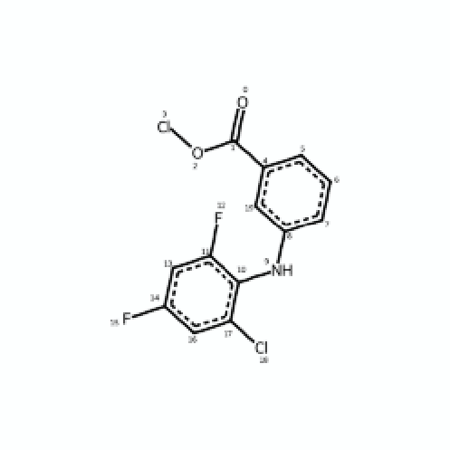 O=C(OCl)c1cccc(Nc2c(F)cc(F)cc2Cl)c1